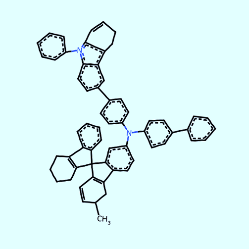 CC1C=CC2=C(C1)c1ccc(N(c3ccc(-c4ccccc4)cc3)c3ccc(-c4ccc5c(c4)c4c(n5-c5ccccc5)C=CCC4)cc3)cc1C21C2=C(CCCC2)c2ccccc21